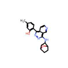 Cc1ccc(-c2nnc(NC3CC4CCC3O4)c3cnccc23)c(O)c1